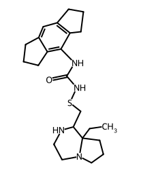 CCC12CCCN1CCNC2CSNC(=O)Nc1c2c(cc3c1CCC3)CCC2